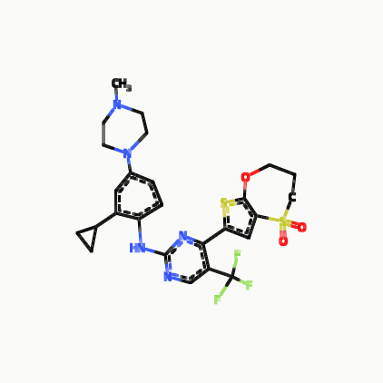 CN1CCN(c2ccc(Nc3ncc(C(F)(F)F)c(-c4cc5c(s4)OCCCS5(=O)=O)n3)c(C3CC3)c2)CC1